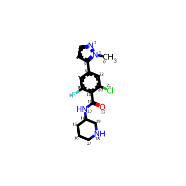 Cn1nccc1-c1cc(F)c(C(=O)NC2CCCNC2)c(Cl)c1